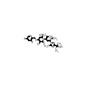 C=N/C(=C\C(=C(C)C)n1c(C)cc(OCc2ncc(F)cc2F)c(Cl)c1=O)n1nc(C(C)(C)O)nc1C